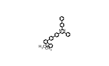 C[Si]1(C)c2ccccc2-c2c(-c3ccc(-c4ccc(-c5cc(-c6ccccc6)nc(-c6ccc(-c7ccccc7)cc6)n5)cc4)cc3)cccc21